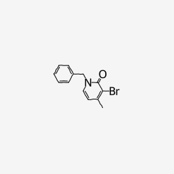 Cc1ccn(Cc2ccccc2)c(=O)c1Br